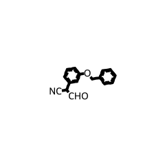 N#CC(C=O)c1cccc(OCc2ccccc2)c1